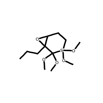 CCCC12OC1CC[Si](OC)(OC)C2(OC)OC